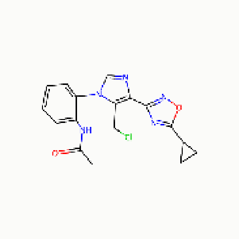 CC(=O)Nc1ccccc1-n1cnc(-c2noc(C3CC3)n2)c1CCl